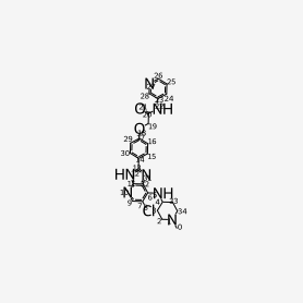 CN1CCC(Nc2c(Cl)cnc3[nH]c(-c4ccc(OCC(=O)Nc5cccnc5)cc4)nc23)CC1